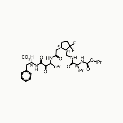 CCCC(NC(=O)C[C@H]1CCC(F)(F)[C@H]1CNC(=O)[C@@H](NC(=O)OC(C)C)C(C)C)C(=O)C(=O)N[C@H](Cc1ccccc1)C(=O)O